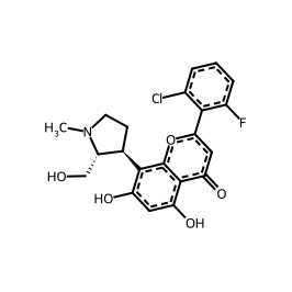 CN1CC[C@@H](c2c(O)cc(O)c3c(=O)cc(-c4c(F)cccc4Cl)oc23)[C@@H]1CO